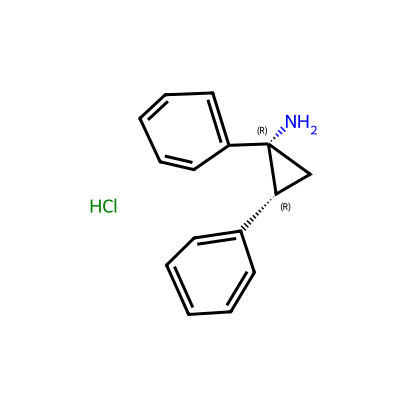 Cl.N[C@]1(c2ccccc2)C[C@@H]1c1ccccc1